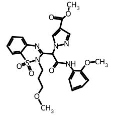 COCCCN1C(C(C(=O)Nc2ccccc2OC)n2cc(C(=O)OC)cn2)=Nc2ccccc2S1(=O)=O